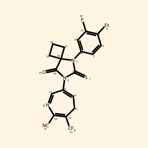 CCc1ccc(N2C(=S)N(C3=CCC(C(F)(F)F)=C(C#N)N=C3)C(=O)C23CCC3)cc1F